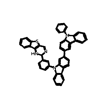 C1=NC(c2cccc(-n3c4ccccc4c4ccc(-c5ccc6c(c5)c5ccccc5n6-c5ccccc5)cc43)c2)Nc2c1sc1ccccc21